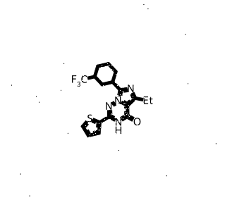 CCc1nc(C2CCCC(C(F)(F)F)C2)n2nc(-c3cccs3)[nH]c(=O)c12